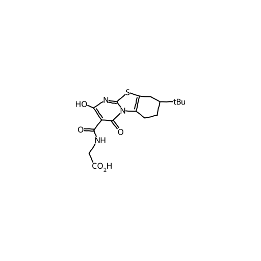 CC(C)(C)C1CCc2c(sc3nc(O)c(C(=O)NCC(=O)O)c(=O)n23)C1